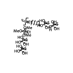 CC.CC.CC.CC.CC[Si](C)(C)C.CC[Si](OC)(OC)OC.OP(O)(O)=S.OP(O)(O)=S.OP(O)(O)=S.OP(O)(O)=S